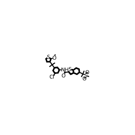 COc1sccc1C(C)(C)c1cc(Cl)cc(NC(=O)c2cc3cc(C(C)(C)S(C)(=O)=O)ccc3s2)c1